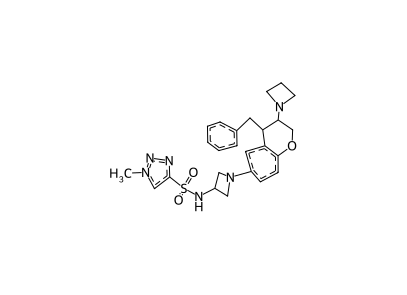 Cn1cc(S(=O)(=O)NC2CN(c3ccc4c(c3)C(Cc3ccccc3)C(N3CCC3)CO4)C2)nn1